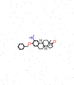 CN(C)c1cc2c(cc1OCc1ccccc1)CC[C@@H]1[C@@H]2CC[C@]2(C)C(=O)CC[C@@H]12